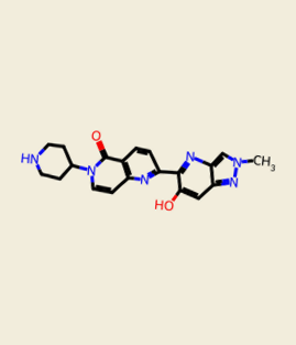 Cn1cc2nc(-c3ccc4c(=O)n(C5CCNCC5)ccc4n3)c(O)cc2n1